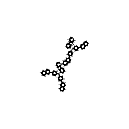 c1ccc2cc(-c3ccc(N(c4ccc(-c5ccc6ccc(-[n+]7cccc8oc9c(N(c%10ccc(-c%11ccc%12ccccc%12c%11)cc%10)c%10ccc(-c%11ccc%12ccccc%12c%11)cc%10)cccc9c87)cc6c5)cc4)c4cccc5c4oc4cnccc45)cc3)ccc2c1